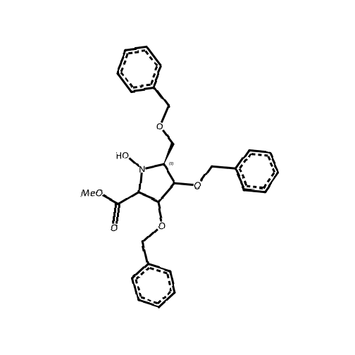 COC(=O)C1C(OCc2ccccc2)C(OCc2ccccc2)[C@H](COCc2ccccc2)N1O